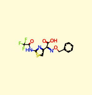 O=C(O)C(=NOCc1ccccc1)c1csc(NC(=O)C(F)(F)F)n1